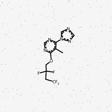 Cc1c(OCC(F)(F)CC(F)(F)F)ncnc1-n1cncn1